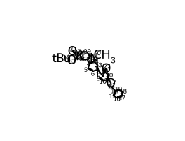 Cn1c2c(c3ccc(-n4ccc(OCc5ccccc5)cc4=O)cc31)C1CCC(C2)N1C(=O)OC(C)(C)C